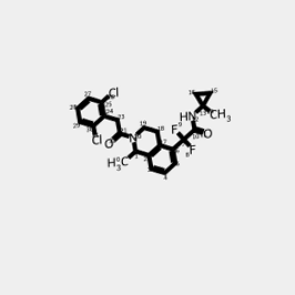 CC1c2cccc(C(F)(F)C(=O)NC3(C)CC3)c2CCN1C(=O)Cc1c(Cl)cccc1Cl